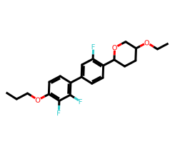 CCCOc1ccc(-c2ccc(C3CCC(OCC)CO3)c(F)c2)c(F)c1F